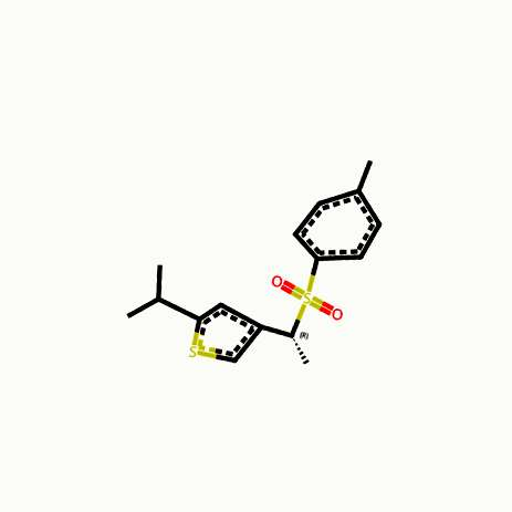 Cc1ccc(S(=O)(=O)[C@H](C)c2csc(C(C)C)c2)cc1